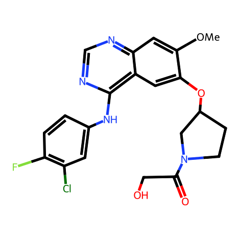 COc1cc2ncnc(Nc3ccc(F)c(Cl)c3)c2cc1OC1CCN(C(=O)CO)C1